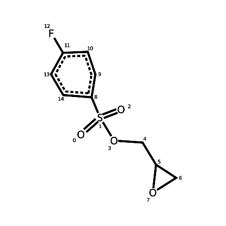 O=S(=O)(OCC1CO1)c1ccc(F)cc1